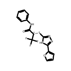 O=C(Nc1ccccc1)[C@H](Sc1nnc(-c2ccco2)[nH]1)C(F)(F)F